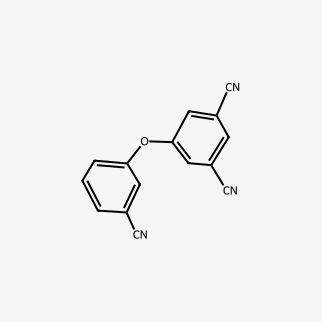 N#Cc1cccc(Oc2cc(C#N)cc(C#N)c2)c1